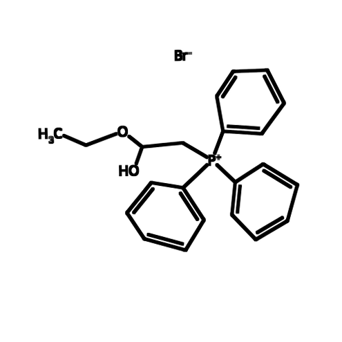 CCOC(O)C[P+](c1ccccc1)(c1ccccc1)c1ccccc1.[Br-]